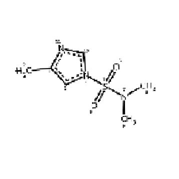 [CH2]c1cn(S(=O)(=O)N(C)C)cn1